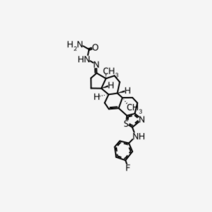 C[C@]12CCc3nc(Nc4cccc(F)c4)sc3C1=CC[C@@H]1[C@@H]2CC[C@]2(C)/C(=N/NC(N)=O)CC[C@@H]12